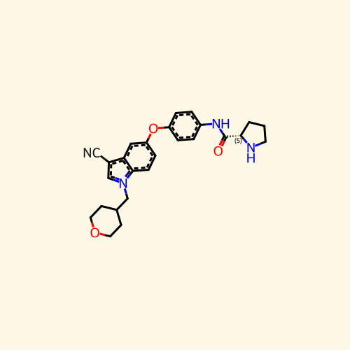 N#Cc1cn(CC2CCOCC2)c2ccc(Oc3ccc(NC(=O)[C@@H]4CCCN4)cc3)cc12